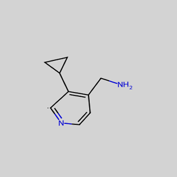 NCc1ccn[c]c1C1CC1